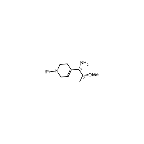 CO[C@@H](C)[C@@H](N)C1=CCN(C(C)C)CC1